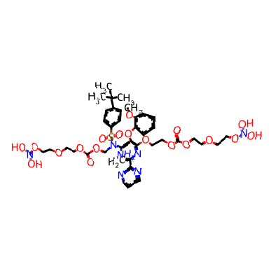 C=C(/N=C(OCCOC(=O)OCCOCCON(O)O)\C(Oc1ccccc1OC)=C(/N)N(COC(=O)OCCOCCON(O)O)S(=O)(=O)c1ccc(C(C)(C)C)cc1)c1ncccn1